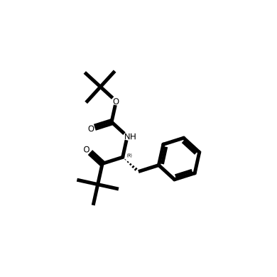 CC(C)(C)OC(=O)N[C@H](Cc1ccccc1)C(=O)C(C)(C)C